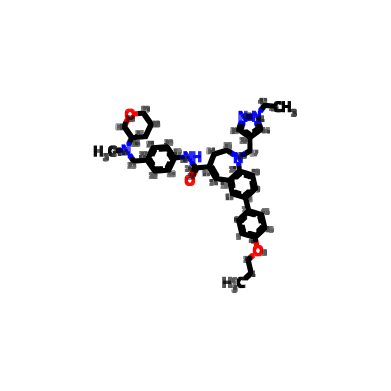 CCCOc1ccc(-c2ccc3c(c2)C=C(C(=O)Nc2ccc(CN(C)C4CCCOC4)cc2)CCN3Cc2cnn(CC)c2)cc1